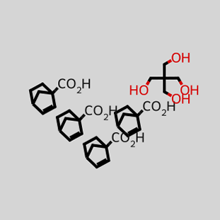 O=C(O)C12C=CC(CC1)C2.O=C(O)C12C=CC(CC1)C2.O=C(O)C12C=CC(CC1)C2.O=C(O)C12C=CC(CC1)C2.OCC(CO)(CO)CO